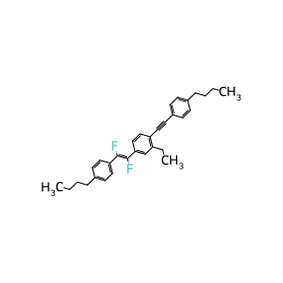 CCCCc1ccc(C#Cc2ccc(/C(F)=C(\F)c3ccc(CCCC)cc3)cc2CC)cc1